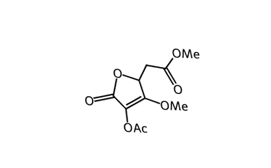 COC(=O)CC1OC(=O)C(OC(C)=O)=C1OC